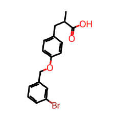 CC(Cc1ccc(OCc2cccc(Br)c2)cc1)C(=O)O